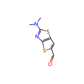 CN(C)c1nc2sc(C=O)cc2s1